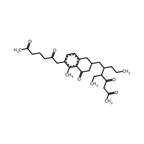 CCCC(CC1CC(=O)c2c(ccc(CC(=O)CCCC(C)=O)c2C)C1)C(CC)C(=O)CC(C)=O